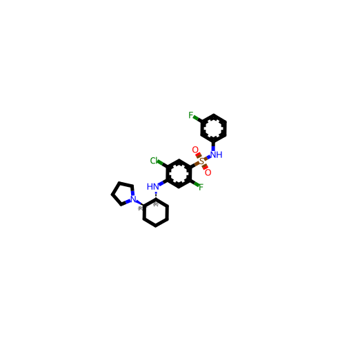 O=S(=O)(Nc1cccc(F)c1)c1cc(Cl)c(N[C@@H]2CCCC[C@H]2N2CCCC2)cc1F